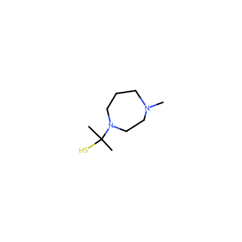 CN1CCCN(C(C)(C)S)CC1